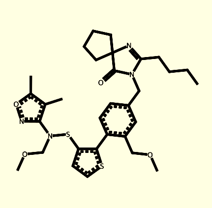 CCCCC1=NC2(CCCC2)C(=O)N1Cc1ccc(-c2sccc2SN(COC)c2noc(C)c2C)c(COC)c1